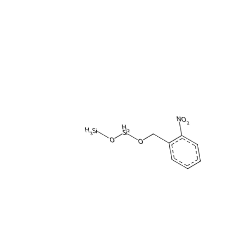 O=[N+]([O-])c1ccccc1CO[SiH2]O[SiH3]